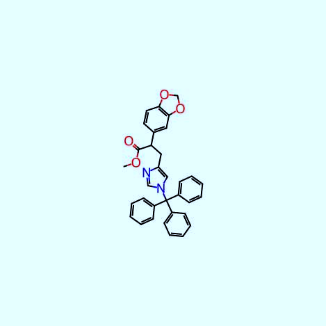 COC(=O)C(Cc1cn(C(c2ccccc2)(c2ccccc2)c2ccccc2)cn1)c1ccc2c(c1)OCO2